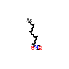 CC(=O)CCC=C(C)CCC=C(C)CCC=C(C)CCC=C(C)C(=O)N1CCOCC1